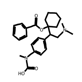 CN(C)CC(c1ccc(N(C)C(=O)O)cc1)C1(OC(=O)c2ccccc2)CCCCC1